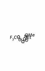 CCC(=NOC)C(=O)Oc1ccccc1COc1cccc(C(F)(F)F)c1